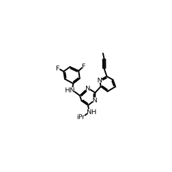 CC#Cc1cccc(-c2nc(Nc3cc(F)cc(F)c3)cc(NC(C)C)n2)n1